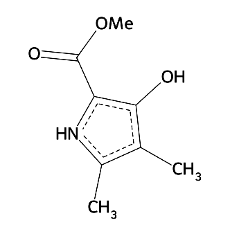 COC(=O)c1[nH]c(C)c(C)c1O